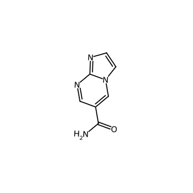 NC(=O)c1cnc2nccn2c1